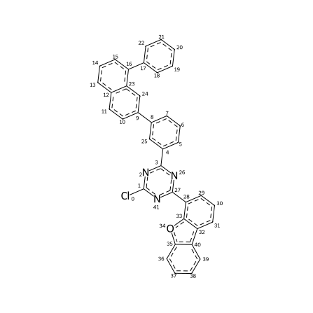 Clc1nc(-c2cccc(-c3ccc4cccc(-c5ccccc5)c4c3)c2)nc(-c2cccc3c2oc2ccccc23)n1